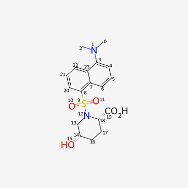 CN(C)c1cccc2c(S(=O)(=O)N3C[C@@H](O)CC[C@H]3C(=O)O)cccc12